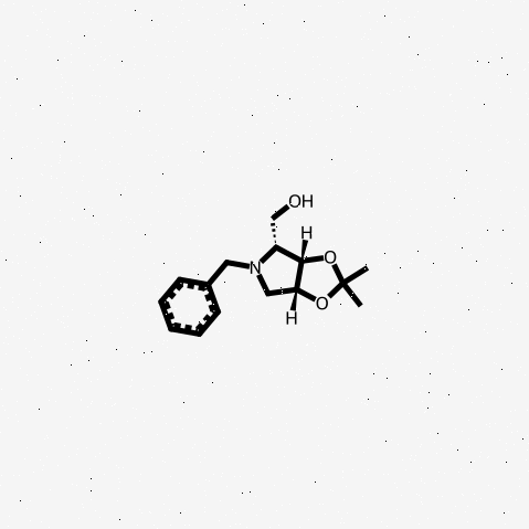 CC1(C)O[C@H]2[C@@H](CO)N(Cc3ccccc3)C[C@H]2O1